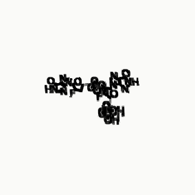 O=c1[nH]cnc2c1ncn2[C@@H]1O[C@H](COP(=O)(O)O)[C@H](F)[C@H]1OP(=O)(O)OC[C@@H]1C[C@@H](F)[C@H](n2cnc3c(=O)[nH]cnc32)O1